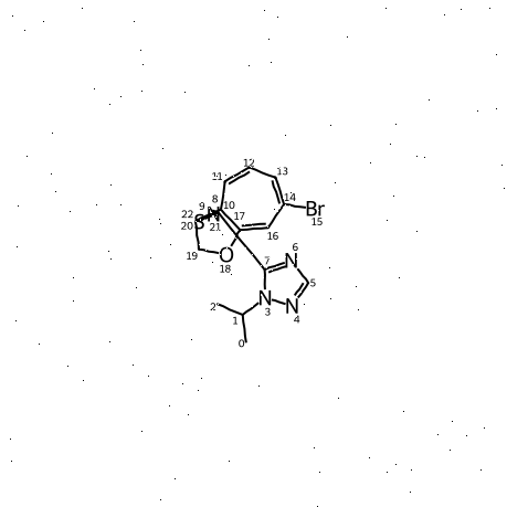 CC(C)n1ncnc1C1=NC23C=CC=C(Br)C=C2OCC3CS1